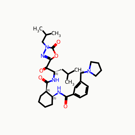 CC(C)C[C@H](NC(=O)[C@@H]1CCCC[C@@H]1NC(=O)c1cccc(CN2CCCC2)c1)C(=O)c1nn(CC(C)C)c(=O)o1